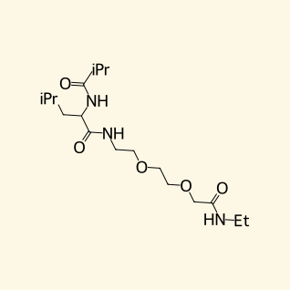 CCNC(=O)COCCOCCNC(=O)C(CC(C)C)NC(=O)C(C)C